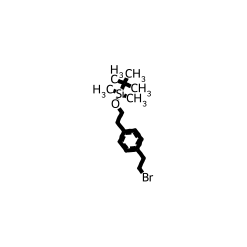 CC(C)(C)[Si](C)(C)OCCc1ccc(CCBr)cc1